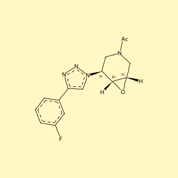 CC(=O)N1C[C@@H]2O[C@@H]2[C@@H](n2cc(-c3cccc(F)c3)nn2)C1